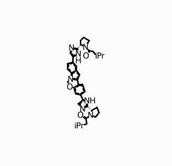 CC(C)CC(=O)N1CCC[C@H]1c1ncc(-c2ccc3c(c2)OCn2c-3cc3cc(-c4cnc([C@@H]5CCCN5C(=O)CC(C)C)[nH]4)ccc32)[nH]1